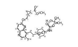 COC(=O)[C@H]1C[C@@H]1COc1ccc2ncc(F)c(CCC34CCC(NC(=O)OC(C)(C)C)(CC3)CO4)c2n1